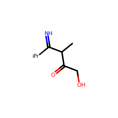 CC(C)C(=N)C(C)C(=O)CO